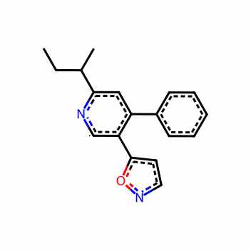 CCC(C)c1cc(-c2ccccc2)c(-c2ccno2)[c]n1